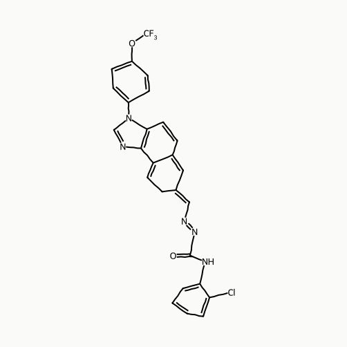 O=C(N=NC=C1C=c2ccc3c(ncn3-c3ccc(OC(F)(F)F)cc3)c2=CC1)Nc1ccccc1Cl